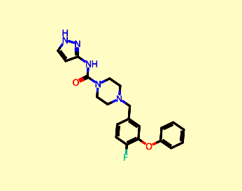 O=C(Nc1cc[nH]n1)N1CCN(Cc2ccc(F)c(Oc3ccccc3)c2)CC1